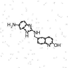 Nc1ccc2nc(NCc3ccc4nc(O)ccc4c3)[nH]c2c1